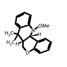 CON1c2ccccc2C(C)(C)[C@H]2COc3ccccc3[C@H]21